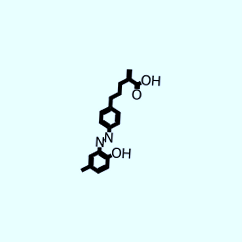 C=C(CCCc1ccc(/N=N/c2cc(C)ccc2O)cc1)C(=O)O